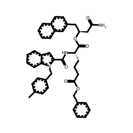 Cc1ccc(Cn2c(C(=O)N[C@@H](CCCC(=O)OCc3ccccc3)C(=O)O[C@H](CC(N)=O)Cc3ccc4ccccc4c3)cc3ccccc32)cc1